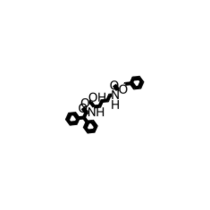 O=C(NCCCCC(NC(=O)C(c1ccccc1)c1ccccc1)C(=O)O)OCc1ccccc1